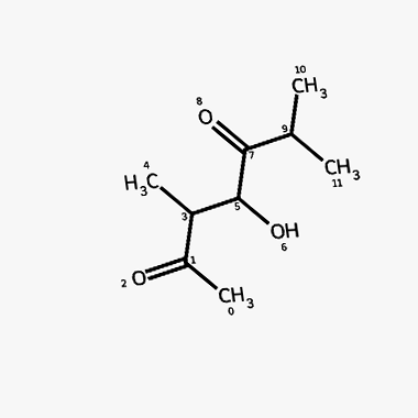 CC(=O)C(C)C(O)C(=O)C(C)C